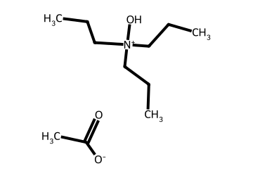 CC(=O)[O-].CCC[N+](O)(CCC)CCC